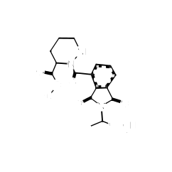 CCC(C(=O)O)N1C(=O)c2cccc(C(=O)N3NCCCC3C(=O)OC(C)(C)C)c2C1=O